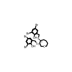 Oc1c(Br)cc(Br)cc1CS[C@H]1CCCCCC[C@@H]1SCc1cc(Br)cc(Br)c1O